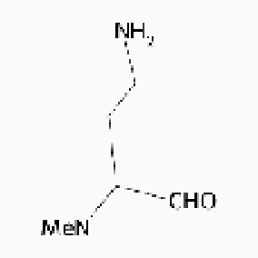 CNC(C=O)CCN